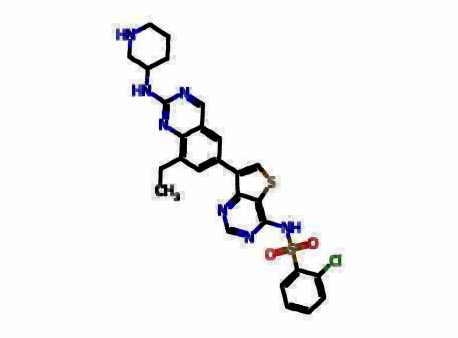 CCc1cc(-c2csc3c(NS(=O)(=O)c4ccccc4Cl)ncnc23)cc2cnc(NC3CCCNC3)nc12